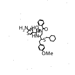 COc1ccc(CC(SCC2CCCCC2)C(CNC(=O)c2ccccc2O)NC(=O)c2csc(N)n2)cc1